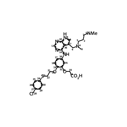 CNCCCN(C)Cc1c[nH]c2ncnc(Nc3ccc(OCCSc4ccc(Cl)cc4)c(OCC(=O)O)c3)c12